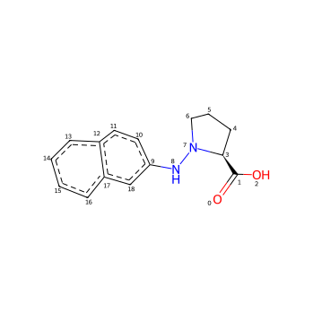 O=C(O)[C@@H]1CCCN1Nc1ccc2ccccc2c1